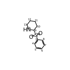 O=S(=O)(c1ccccc1)C1CCCCN1